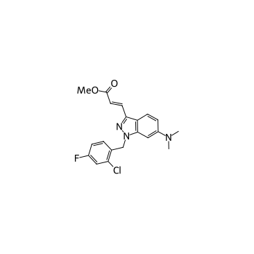 COC(=O)C=Cc1nn(Cc2ccc(F)cc2Cl)c2cc(N(C)C)ccc12